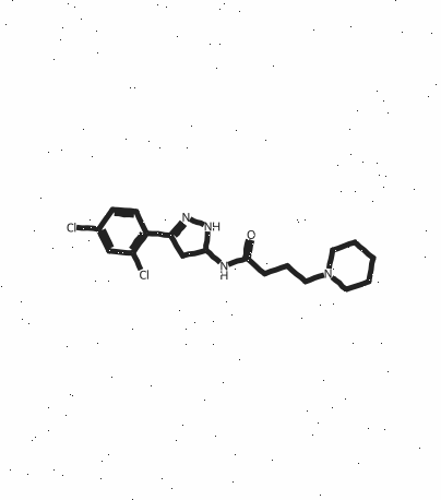 O=C(CCCN1CCCCC1)NC1CC(c2ccc(Cl)cc2Cl)=NN1